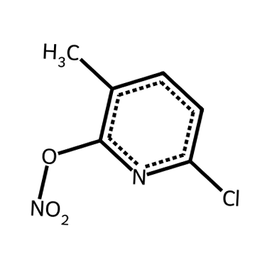 Cc1ccc(Cl)nc1O[N+](=O)[O-]